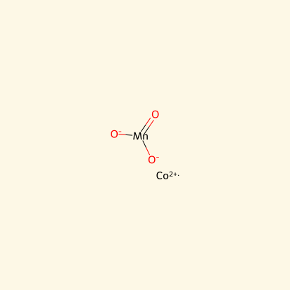 [Co+2].[O]=[Mn]([O-])[O-]